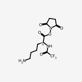 NCCCC[C@H](NC(=O)C(F)(F)F)C(=O)ON1C(=O)CCC1=O